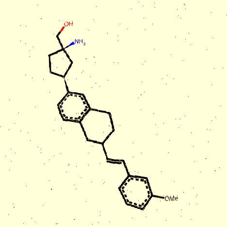 COc1cccc(/C=C/C2CCc3cc([C@H]4CC[C@](N)(CO)C4)ccc3C2)c1